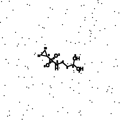 O=S(=O)(NCCC(O)O)C1CC1